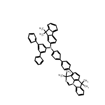 CC1(C)N=CN2c3ccccc3C(C)(C)c3ccc(-c4ccc(-c5ccc(N(c6cc(-c7ccccc7)cc(-c7ccccc7)c6)c6ccc7c(c6)C(C)(C)c6ccccc6-7)cc5)cc4)c1c32